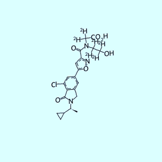 [2H]C([2H])(C(=O)O)N(C(=O)c1cc(-c2cc(Cl)c3c(c2)CN([C@@H](C)C2CC2)C3=O)on1)C([2H])([2H])C([2H])([2H])O